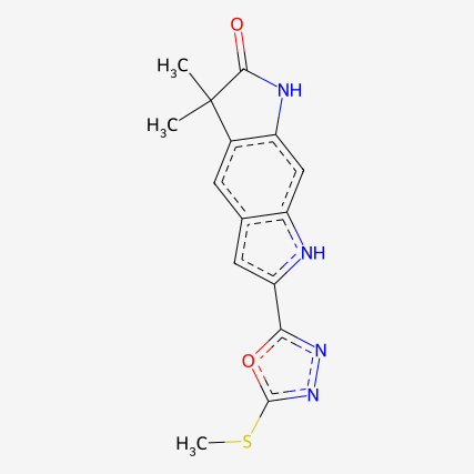 CSc1nnc(-c2cc3cc4c(cc3[nH]2)NC(=O)C4(C)C)o1